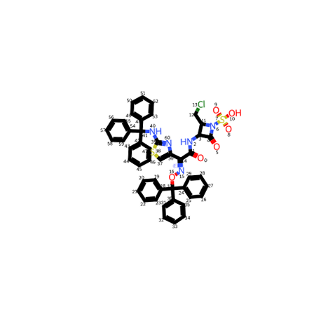 O=C(NC1C(=O)N(S(=O)(=O)O)C1CCl)/C(=N/OC(c1ccccc1)(c1ccccc1)c1ccccc1)c1csc(NC(c2ccccc2)(c2ccccc2)c2ccccc2)n1